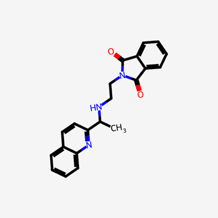 CC(NCCN1C(=O)c2ccccc2C1=O)c1ccc2ccccc2n1